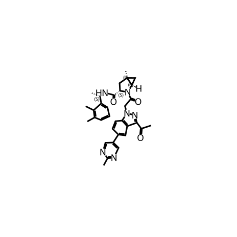 CC(=O)c1nn(CC(=O)N2[C@H](C(=O)N[C@@H](C)c3cccc(C)c3C)C[C@@]3(C)C[C@@H]23)c2ccc(-c3cnc(C)nc3)cc12